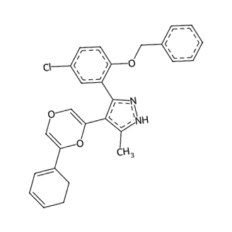 Cc1[nH]nc(-c2cc(Cl)ccc2OCc2ccccc2)c1C1=COC=C(C2=CC=CCC2)O1